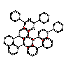 c1ccc(-c2ccc(N(c3cccc(-c4cccc5cccc(-c6cccc(-c7nc(-c8ccccc8)nc(-c8ccccc8)n7)c6)c45)c3)c3ccccc3-c3ccccc3)cc2)cc1